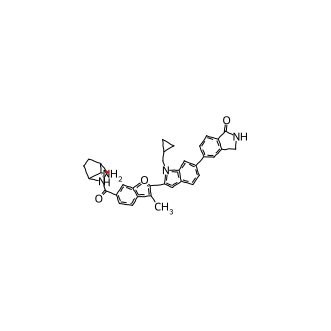 Cc1c(-c2cc3ccc(-c4ccc5c(c4)CNC5=O)cc3n2CC2CC2)oc2cc(C(=O)N3CC4CCC3[C@@H]4N)ccc12